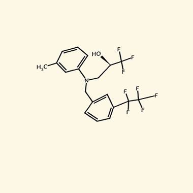 Cc1cccc(N(Cc2cccc(C(F)(F)C(F)(F)F)c2)C[C@@H](O)C(F)(F)F)c1